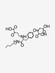 CCCCCNC(=O)C(Cc1ccc(O[C@@H](CC(=O)O)C(=O)O)cc1)NCCC(=O)C(=O)O